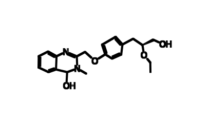 CCO[C@H](CO)Cc1ccc(OCC2=Nc3ccccc3C(O)N2C)cc1